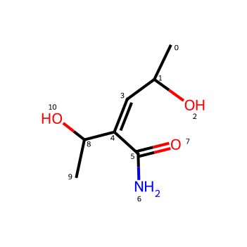 CC(O)C=C(C(N)=O)C(C)O